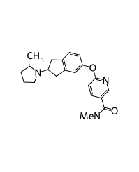 CNC(=O)c1ccc(Oc2ccc3c(c2)CC(N2CCC[C@@H]2C)C3)nc1